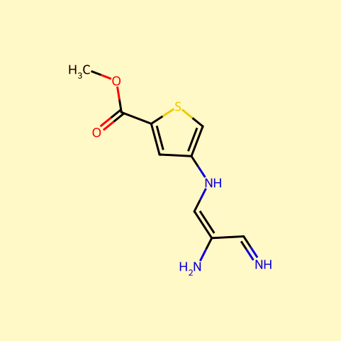 COC(=O)c1cc(N/C=C(/N)C=N)cs1